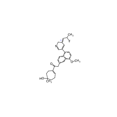 COc1ccc(C2=C/C(=C\C(C)F)CN=C2)c2ccc(CC(=O)C3=CCCC(C)(O)CC3)cc12